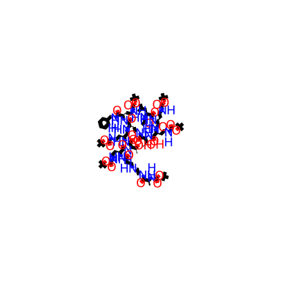 CC(=O)N[C@@H](CC(C)C)C(=O)N[C@@H](CCNC(=O)OC(C)(C)C)C(=O)N[C@@H](CCNC(=O)OC(C)(C)C)C(=O)N[C@H](C(=O)NCC[C@H](NC(=O)[C@H](CCNC(=O)OC(C)(C)C)NC(=O)[C@@H](NC(=O)[C@H](CCNC(=O)OC(C)(C)C)NC(=O)CCNCCNC(=O)[C@H](C)NC(=O)OC(C)(C)C)[C@@H](C)O)C(=O)N[C@@H](CCNC(=O)OC(C)(C)C)C(=O)NCC1C=CC=CC1)[C@@H](C)O